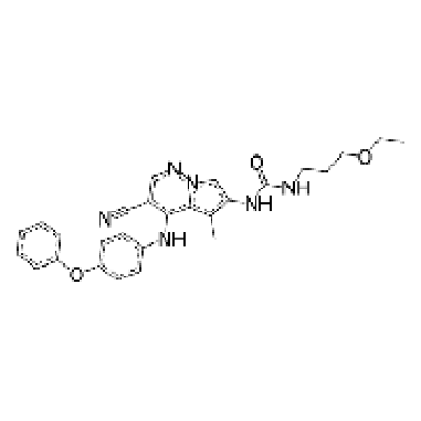 CCOCCCNC(=O)Nc1cn2ncc(C#N)c(Nc3ccc(Oc4ccccc4)cc3)c2c1C